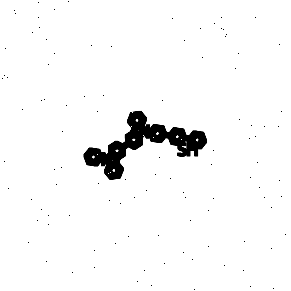 Sc1cc(-c2ccc(-n3c4ccccc4c4cc(-c5ccc6c(c5)c5ccccc5n6-c5ccccc5)ccc43)cc2)ccc1-c1ccccc1